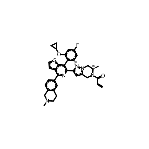 C=CC(=O)N1Cc2cc(-c3nc(-c4ccc5c(c4)CCN(C)C5)c4ccsc4c3-c3c(F)cc(F)cc3OC3CC3)nn2C[C@H]1C